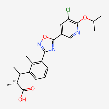 Cc1c(-c2noc(-c3cnc(OC(C)C)c(Cl)c3)n2)cccc1C(C)[C@@H](C)C(=O)O